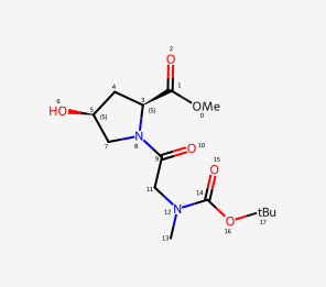 COC(=O)[C@@H]1C[C@H](O)CN1C(=O)CN(C)C(=O)OC(C)(C)C